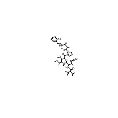 CCC(C)C(C(CC(=O)N1CCC[C@H]1C(OC)C(C)C(=O)NCCc1ccccc1Cl)OC)N(C)C(=O)C(NC(=O)C(C(C)C)N(C)C)C(C)N=[N+]=[N-]